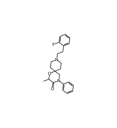 CC1OC2(CCN(CCc3ccccc3F)CC2)CN(c2ccccc2)C1=O